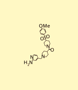 COc1ccc(S(=O)(=O)C2CCN(C(=O)C3CCN(Cc4ccnc(N)c4)CC3)CC2)cc1